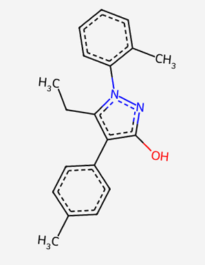 CCc1c(-c2ccc(C)cc2)c(O)nn1-c1ccccc1C